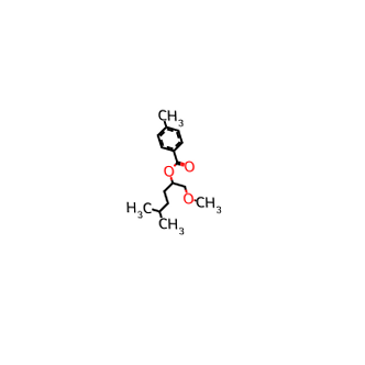 COCC(CCC(C)C)OC(=O)c1ccc(C)cc1